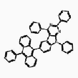 c1ccc(-c2nc(-c3ccccc3)c3c4cc(-c5c6ccccc6c(-c6ccccc6)c6ccccc56)ccc4n(-c4ccccc4)c3n2)cc1